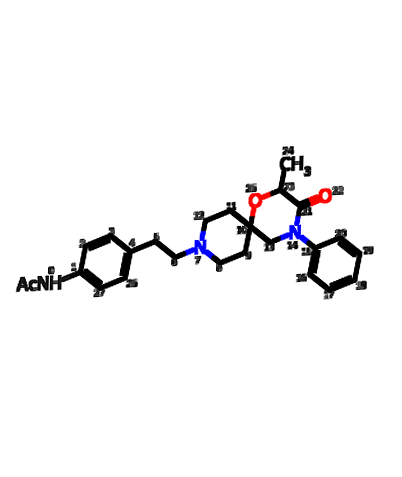 CC(=O)Nc1ccc(CCN2CCC3(CC2)CN(c2ccccc2)C(=O)C(C)O3)cc1